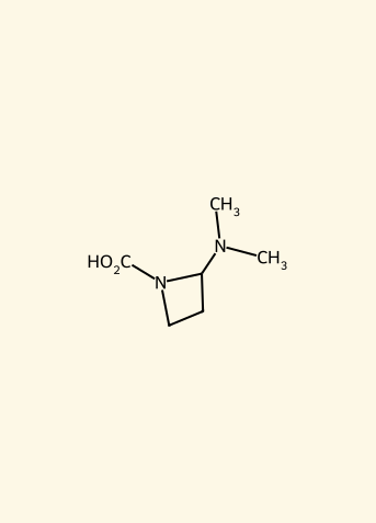 CN(C)C1CCN1C(=O)O